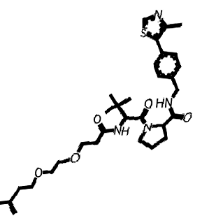 Cc1ncsc1-c1ccc(CNC(=O)C2CCCN2C(=O)C(NC(=O)CCOCCOCCC(C)C)C(C)(C)C)cc1